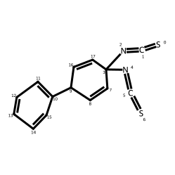 S=C=NC1(N=C=S)C=CC(c2ccccc2)C=C1